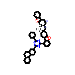 Cc1oc2ccccc2c1/C=C\C=C\C1(C)C=Cc2c(oc3cccc(-c4nc(-c5ccccc5)nc(-c5ccc6c(ccc7ccccc76)c5)n4)c23)C1